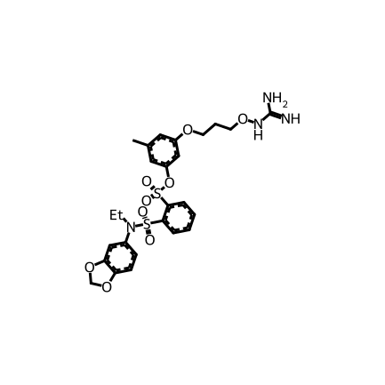 CCN(c1ccc2c(c1)OCO2)S(=O)(=O)c1ccccc1S(=O)(=O)Oc1cc(C)cc(OCCCONC(=N)N)c1